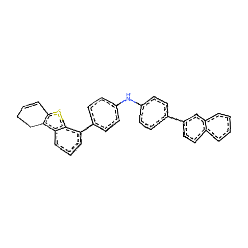 C1=Cc2sc3c(-c4ccc(Nc5ccc(-c6ccc7ccccc7c6)cc5)cc4)cccc3c2CC1